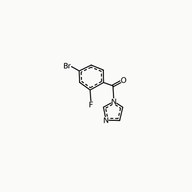 O=C(c1ccc(Br)cc1F)n1ccnc1